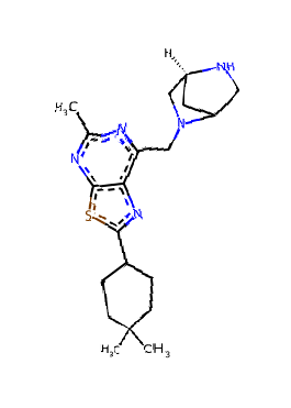 Cc1nc(CN2C[C@@H]3CC2CN3)c2nc(C3CCC(C)(C)CC3)sc2n1